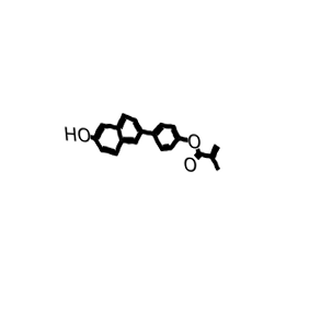 C=C(C)C(=O)Oc1ccc(-c2ccc3cc(O)ccc3c2)cc1